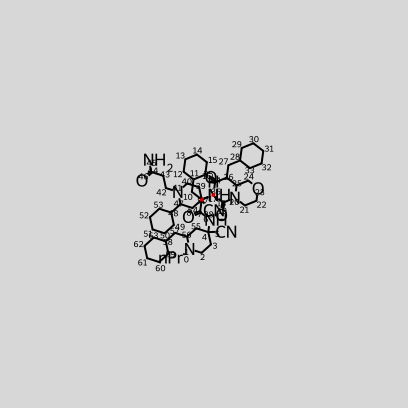 CCCN1CCC(C#N)(NC(=O)C(CC2CCCCC2)NC(=O)N2CCOCC2C(CC2CCCCC2)C(=O)NC2(C#N)CCN(CCC(N)=O)C(C3CCCCC3)C2)CC1CC1CCCCC1